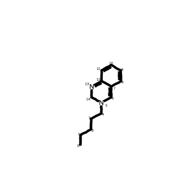 CCCCCN1C=c2ccccc2=NC1